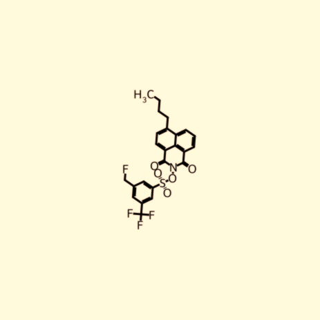 CCCCc1ccc2c3c(cccc13)C(=O)N(OS(=O)(=O)c1cc(CF)cc(C(F)(F)F)c1)C2=O